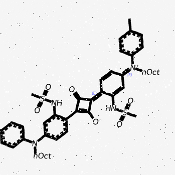 CCCCCCCCN(c1ccc(C)cc1)c1ccc(C2=C([O-])/C(=C3C=C/C(=[N+](/CCCCCCCC)c4ccc(C)cc4)C=C/3NS(C)(=O)=O)C2=O)c(NS(C)(=O)=O)c1